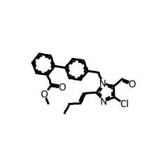 CC/C=C/c1nc(Cl)c(C=O)n1Cc1ccc(-c2ccccc2C(=O)OC)cc1